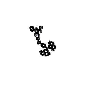 CC1(C)CCN2CCC(C)(C)c3cc(N(c4ccc(-c5ccc(-c6ccc(/C=C7\C(=O)N(c8ccccc8)N=C7C(=O)O)s6)s5)cc4)c4cc5c6c(c4)C(C)(C)CCN6CCC5(C)C)cc1c32